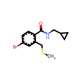 CSCc1cc(Br)ccc1C(=O)NCC1CC1